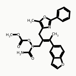 COC(=O)ON(CC(Cc1nc(-c2ccccc2)oc1C)=C(C)c1ccc2occc2c1)C(N)=O